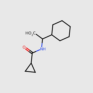 O=C(NC(C(=O)O)C1CCCCC1)C1CC1